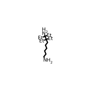 CCC(N)(CC)C(CC)(CC)CCCCCCN